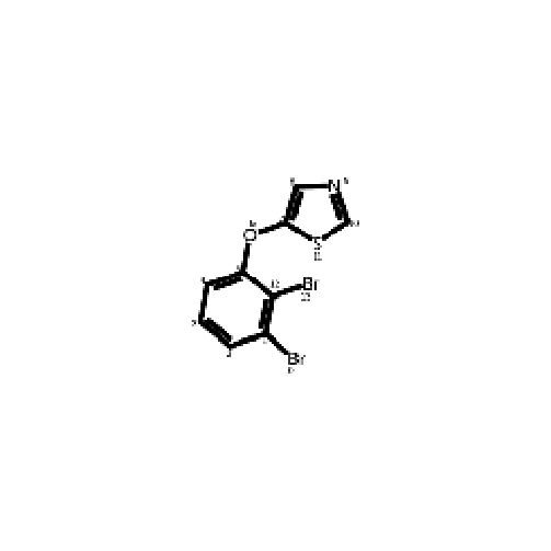 Brc1cccc(Oc2cn[c]s2)c1Br